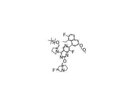 CCc1c(F)ccc2cc(OCOC)cc(-c3ncc4c(N5CCC[C@H]5CO[Si](C)(C)C(C)(C)C)nc(OC[C@@]56CCCN5C[C@H](F)C6)nc4c3F)c12